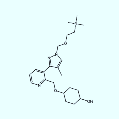 Cc1cn(COCC[Si](C)(C)C)nc1-c1cccnc1COC1CCC(O)CC1